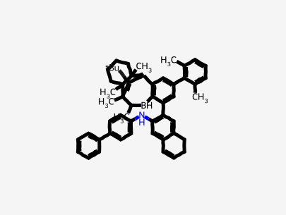 Cc1cccc(C)c1-c1cc2c(c(-c3cc4c(cc3Nc3ccc(-c5ccccc5)cc3)C=CCC4)c1)BC(C)C1(C)C=C(C(C)(C)C)C=C2C2(C)CCCCC21C